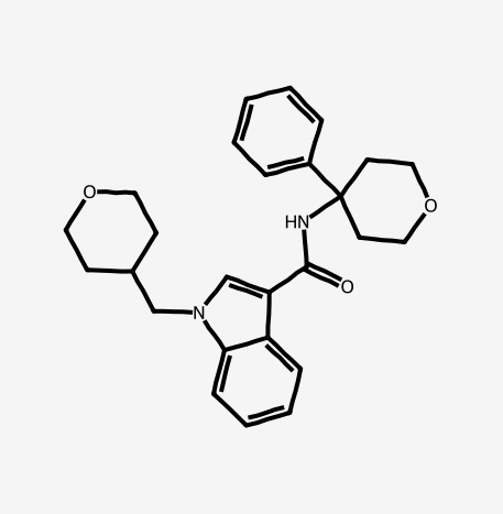 O=C(NC1(c2ccccc2)CCOCC1)c1cn(CC2CCOCC2)c2ccccc12